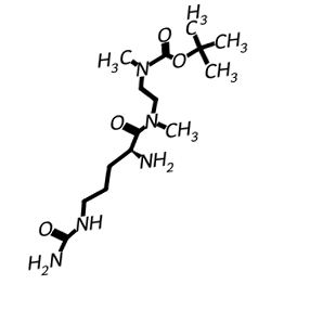 CN(CCN(C)C(=O)[C@@H](N)CCCNC(N)=O)C(=O)OC(C)(C)C